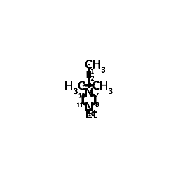 CC#CC(C)(C)N1CCN(CC)CC1